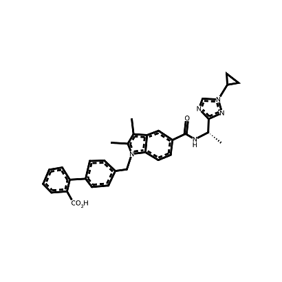 Cc1c(C)n(Cc2ccc(-c3ccccc3C(=O)O)cc2)c2ccc(C(=O)N[C@@H](C)c3ncn(C4CC4)n3)cc12